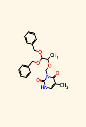 Cc1c[nH]c(=O)n(COC(C)C(OCc2ccccc2)OCc2ccccc2)c1=O